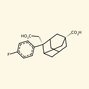 O=C(O)C[C@]1(c2ccc(F)cc2)C2CC3CC1C[C@](C(=O)O)(C3)C2